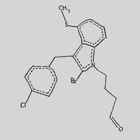 CSc1cccc2c1c(Cc1ccc(Cl)cc1)c(Br)n2CCCC=O